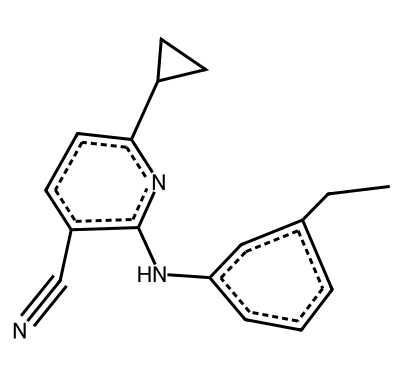 CCc1cccc(Nc2nc(C3CC3)ccc2C#N)c1